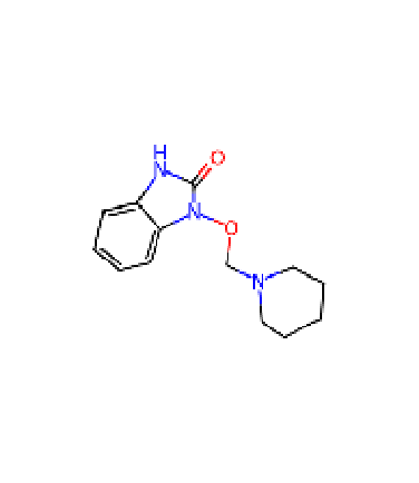 O=c1[nH]c2ccccc2n1OCN1CCCCC1